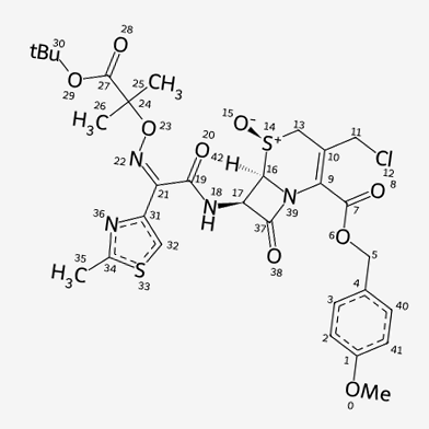 COc1ccc(COC(=O)C2=C(CCl)C[S@+]([O-])[C@@H]3[C@H](NC(=O)/C(=N\OC(C)(C)C(=O)OC(C)(C)C)c4csc(C)n4)C(=O)N23)cc1